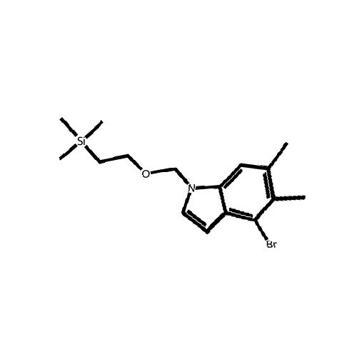 Cc1cc2c(ccn2COCC[Si](C)(C)C)c(Br)c1C